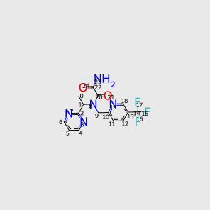 CC(c1ncccn1)N(Cc1ccc(C(F)(F)F)cn1)C(=O)C(N)=O